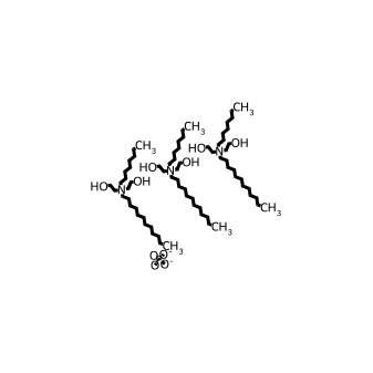 CCCCCCCCCCCC[N+](CCO)(CCO)CCCCCCCC.CCCCCCCCCCCC[N+](CCO)(CCO)CCCCCCCC.CCCCCCCCCCCC[N+](CCO)(CCO)CCCCCCCC.O=P([O-])([O-])[O-]